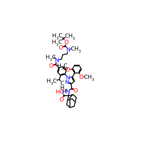 COc1cccc(OC)c1-c1cc(C(=O)NC2(C(=O)O)C3CC4CC(C3)CC2C4)nn1-c1ccc(C(=O)N(C)CCCN(C)C(=O)OC(C)(C)C)cc1C(C)C